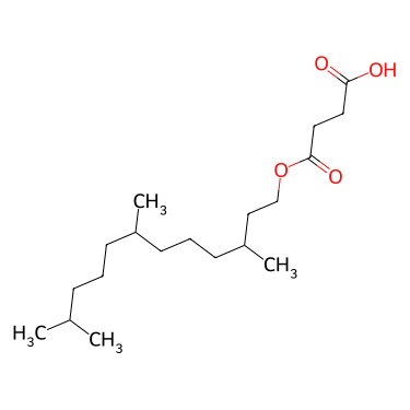 CC(C)CCCC(C)CCCC(C)CCOC(=O)CCC(=O)O